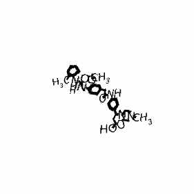 COc1cc(CC(=O)Nc2ccc(C(CC(=O)O)N3CCN(C)CC3)cc2)ccc1NC(=O)Nc1ccccc1C